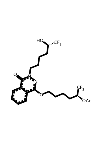 CC(=O)O[C@@H](CCCCOc1nn(CCCC[C@H](O)C(F)(F)F)c(=O)c2ccccc12)C(F)(F)F